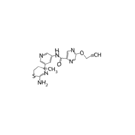 C#CCOc1cnc(C(=O)Nc2cncc([C@]3(C)CCSC(N)=N3)c2)cn1